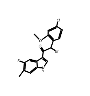 COc1cc(Cl)ccc1C(Br)C(=O)c1c[nH]c2cc(C)c(F)cc12